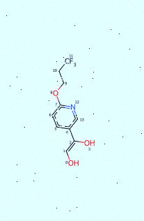 O/C=C(\O)c1ccc(OCCC(F)(F)F)nc1